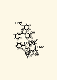 C1CN1.CC(=O)O[C@H]1C(=O)[C@@]2(C)[C@H]([C@H](OC(=O)c3ccccc3)[C@]3(O)C[C@H](OC(=O)[C@H](O)[C@@H](NC(=O)c4ccccc4)c4ccccc4)C(C)=C1C3(C)C)[C@]1(OC(C)=O)CO[C@@H]1C[C@@H]2O